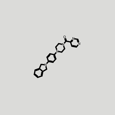 O=C(c1ccncn1)N1CCN(c2ccc(N3Cc4ccccc4C3)cc2)CC1